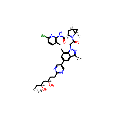 CC(=O)c1nn(CC(=O)N2[C@H](C(=O)Nc3nc(Br)ccc3C)C[C@@]3(C)C[C@@H]23)c2c(C)cc(-c3cnc(CC[C@@H](O)C[C@@H](O)CC(=O)O)nc3)cc12